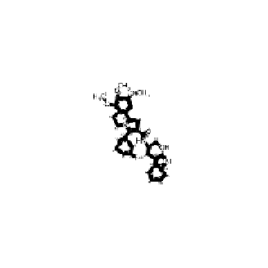 COc1cc2c(c(OC)c1OC)CCn1c-2cc(C(=O)NC(CO)Cc2c[nH]c3ccccc23)c1-c1cccc(F)c1